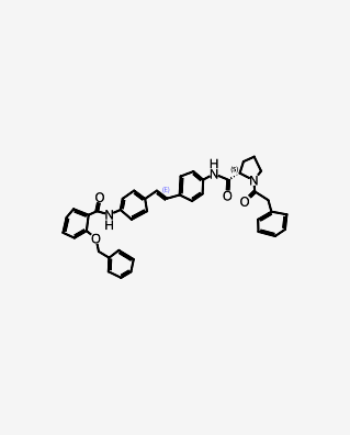 O=C(Nc1ccc(/C=C/c2ccc(NC(=O)[C@@H]3CCCN3C(=O)Cc3ccccc3)cc2)cc1)c1ccccc1OCc1ccccc1